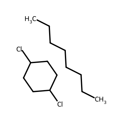 CCCCCCCC.ClC1CCC(Cl)CC1